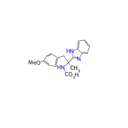 COc1ccc(CC(C)(NC(=O)O)c2nc3ccccc3[nH]2)cc1